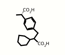 C[C@H](C(=O)O)c1ccc(CC(C(=O)O)C2CCCCC2)cc1